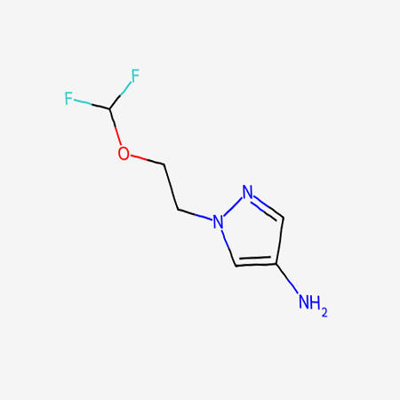 Nc1cnn(CCOC(F)F)c1